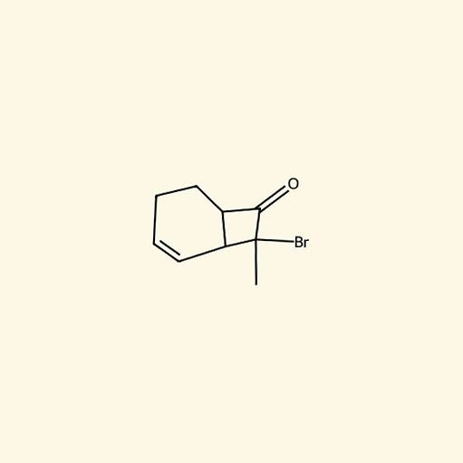 CC1(Br)C(=O)C2CCC=CC21